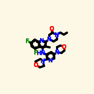 CCCN1CCN(c2nc3cc(F)cc(F)c3c(Nc3cc(N4CCOCC4)cnc3N3CCOCC3)c2C)CC1=O